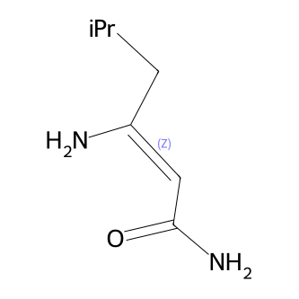 CC(C)C/C(N)=C/C(N)=O